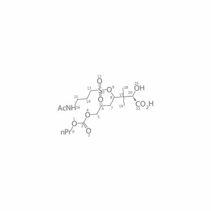 CCCOC(=O)OCCCC(OS(=O)(=O)CCCNC(C)=O)C(C)(C)[C@@H](O)C(=O)O